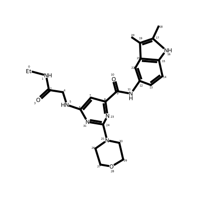 CCNC(=O)CNc1cc(C(=O)Nc2ccc3[nH]c(C)c(C)c3c2)nc(N2CCOCC2)n1